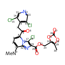 CNc1ccc(C(=O)Cc2c(Cl)cncc2Cl)n2c(Cl)c(C(=O)OCc3oc(=O)oc3C)nc12